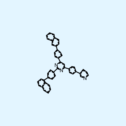 c1cncc(-c2ccc(-c3cc(-c4ccc(-c5ccc6ccccc6c5)cc4)nc(-c4ccc(-c5cccc6ccccc56)cc4)n3)cc2)c1